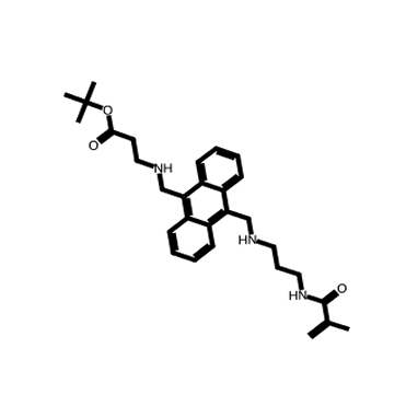 C=C(C)C(=O)NCCCNCc1c2ccccc2c(CNCCC(=O)OC(C)(C)C)c2ccccc12